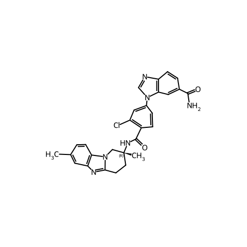 Cc1ccc2c(c1)nc1n2C[C@](C)(NC(=O)c2ccc(-n3cnc4ccc(C(N)=O)cc43)cc2Cl)CC1